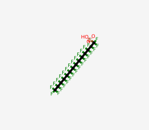 O=S(=O)(O)C(F)(F)C(F)(F)C(F)(F)C(F)(F)C(F)(F)C(F)(F)C(F)(F)C(F)(F)C(F)(F)C(F)(F)C(F)(F)C(F)(F)C(F)(F)C(F)(F)F